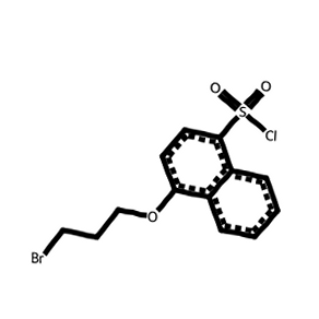 O=S(=O)(Cl)c1ccc(OCCCBr)c2ccccc12